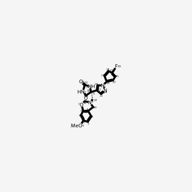 COc1ccc2c(c1)OCN(C[C@@]1(c3cnn(-c4ccc(F)cc4)c3)NC(=O)NC1=O)C2